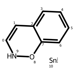 C1=Cc2ccccc2ON1.[Sn]